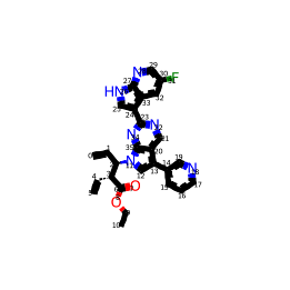 C=C[C@H]([C@@H](C=C)C(=O)OCC)n1cc(-c2cccnc2)c2cnc(-c3c[nH]c4ncc(F)cc34)nc21